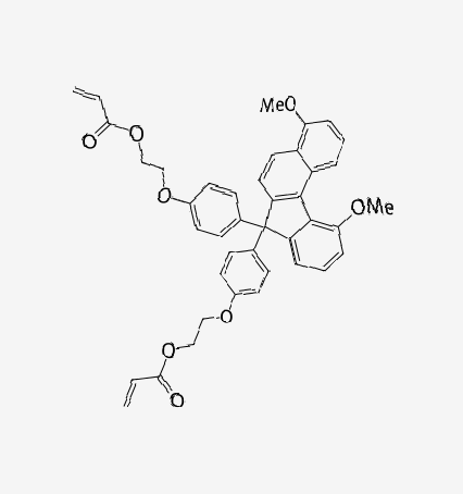 C=CC(=O)OCCOc1ccc(C2(c3ccc(OCCOC(=O)C=C)cc3)c3cccc(OC)c3-c3c2ccc2c(OC)cccc32)cc1